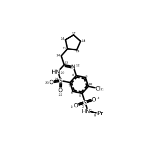 CC(C)NS(=O)(=O)c1cc2c(cc1Cl)N=C(CC1CCCC1)NS2(=O)=O